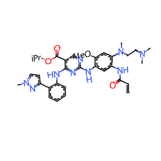 C=CC(=O)Nc1cc(Nc2ncc(C(=O)OC(C)C)c(Nc3ccccc3-c3ccn(C)n3)n2)c(OC)cc1N(C)CCN(C)C